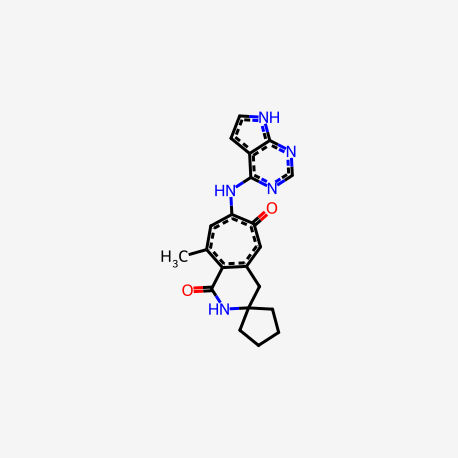 Cc1cc(Nc2ncnc3[nH]ccc23)c(=O)cc2c1C(=O)NC1(CCCC1)C2